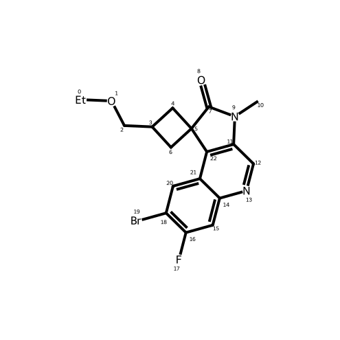 CCOCC1CC2(C1)C(=O)N(C)c1cnc3cc(F)c(Br)cc3c12